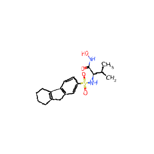 CC(C)[C@@H](NS(=O)(=O)c1ccc2c(c1)CC1=C2CCCC1)C(=O)NO